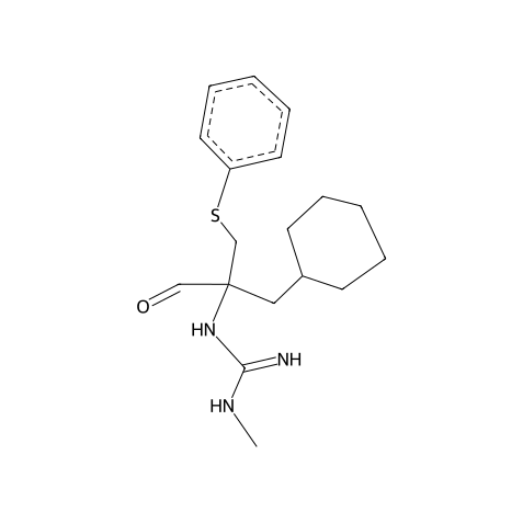 CNC(=N)NC(C=O)(CSc1ccccc1)CC1CCCCC1